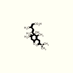 CC1=C(CC(=O)N(C)C)C(=O)CC(C)(C)[C@]1(O)/C=C/C(C)=C\C(=O)O